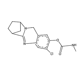 CNC(=O)Oc1cc2c(cc1Cl)N=C1C3CCC(C3)N1C2